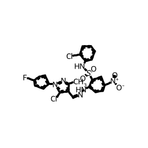 Cc1nn(-c2ccc(F)cc2)c(Cl)c1/C=N\Nc1ccc([N+](=O)[O-])cc1S(=O)(=O)Nc1ccccc1Cl